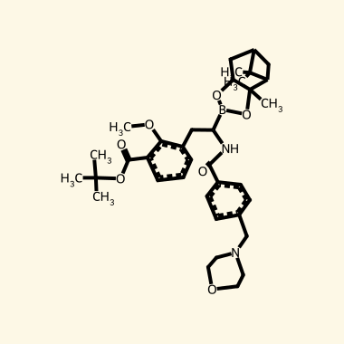 COc1c(CC(NC(=O)c2ccc(CN3CCOCC3)cc2)B2OC3CC4CC(C4(C)C)C3(C)O2)cccc1C(=O)OC(C)(C)C